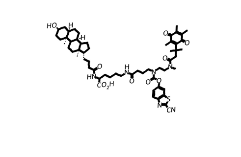 CC1=C(C)C(=O)C(C(C)(C)CC(=O)N(C)CCN(CCCC(=O)NCCCCC(NC(=O)CCC[C@H]2CCC3[C@@H]4CC[C@@H]5C[C@H](O)CC[C@]5(C)C4CC[C@@]32C)C(=O)O)C(=O)Oc2ccc3nc(C#N)sc3c2)=C(C)C1=O